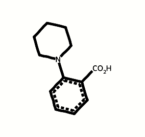 O=C(O)c1ccccc1N1CCCCC1